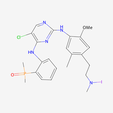 COc1cc(CCN(C)I)c(C)cc1Nc1ncc(Cl)c(Nc2ccccc2P(C)(C)=O)n1